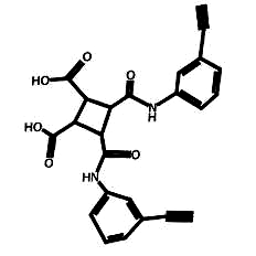 C#Cc1cccc(NC(=O)C2C(C(=O)O)C(C(=O)O)C2C(=O)Nc2cccc(C#C)c2)c1